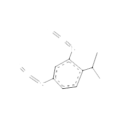 CC(C)c1ccc(N=C=O)cc1N=C=O